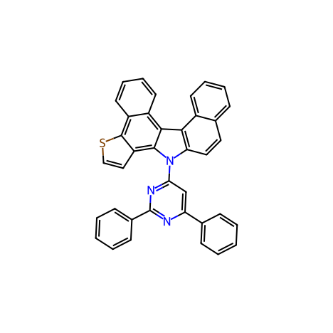 c1ccc(-c2cc(-n3c4ccc5ccccc5c4c4c5ccccc5c5sccc5c43)nc(-c3ccccc3)n2)cc1